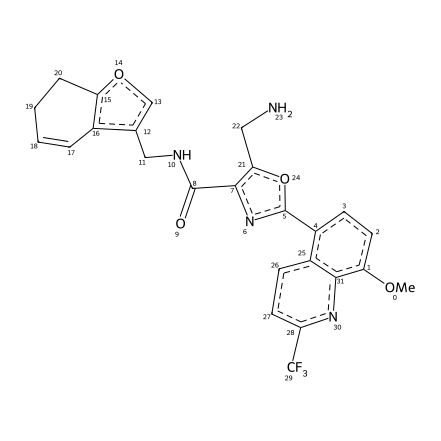 COc1ccc(-c2nc(C(=O)NCc3coc4c3C=CCC4)c(CN)o2)c2ccc(C(F)(F)F)nc12